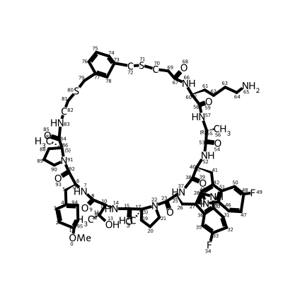 COc1ccc(C[C@@H]2NC(=O)[C@H]([C@@H](C)O)NC(=O)[C@]3(C)CCCN3C(=O)[C@H](Cc3c[nH]c4ccc(F)cc34)NC(=O)[C@H](Cc3c[nH]c4ccc(F)cc34)NC(=O)[C@@H](C)NC(=O)[C@H](CCCCN)NC(=O)CCSCc3cccc(c3)CSCCNC(=O)[C@]3(C)CCCN3C2=O)cc1